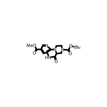 COC(=O)c1cnc2c(c1)NC(=O)C1CN(C(=O)OC(C)(C)C)CCN21